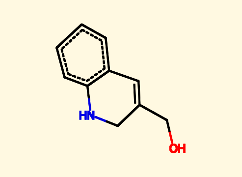 OCC1=Cc2ccccc2NC1